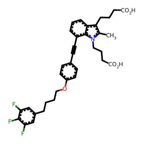 Cc1c(CCCC(=O)O)c2cccc(C#Cc3ccc(OCCCCc4cc(F)c(F)c(F)c4)cc3)c2n1CCCC(=O)O